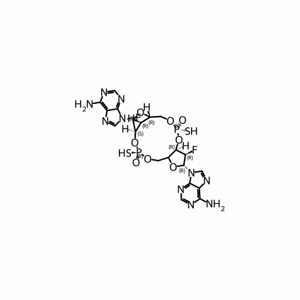 Nc1ncnc2c1ncn2[C@@H]1OC2CO[P@@](=O)(S)O[C@@H]3[C@H](F)[C@@H](CO[P@](=O)(S)O[C@H]2[C@H]1F)O[C@H]3n1cnc2c(N)ncnc21